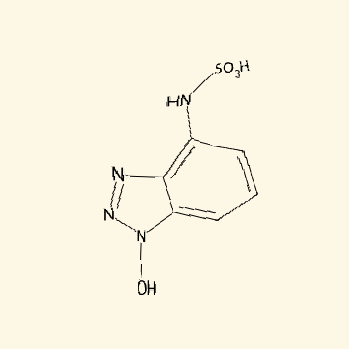 O=S(=O)(O)Nc1cccc2c1nnn2O